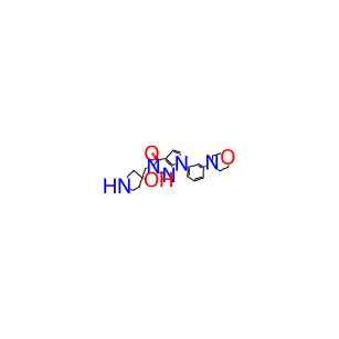 O=c1c2ccn(-c3cccc(N4CCOCC4)c3)c2ncn1CC1(O)CCNCC1